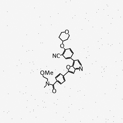 COCCN(C)C(=O)c1ccc(-c2cc3nccc(-c4ccc(OC5CCOCC5)c(C#N)c4)c3o2)cc1